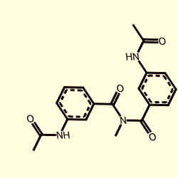 CC(=O)Nc1cccc(C(=O)N(C)C(=O)c2cccc(NC(C)=O)c2)c1